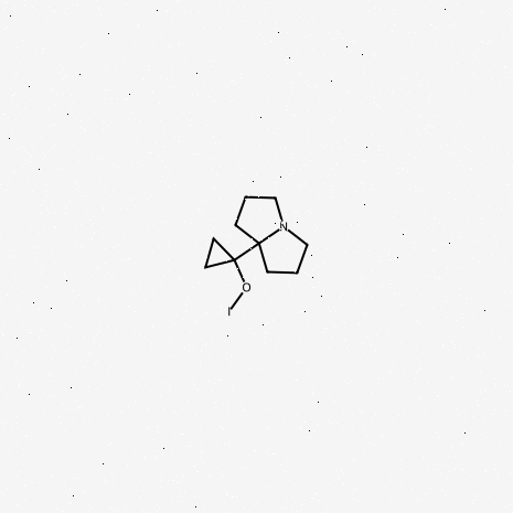 IOC1(C23CCCN2CCC3)CC1